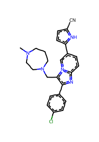 CN1CCCN(Cc2c(-c3ccc(Cl)cc3)nc3ccc(-c4ccc(C#N)[nH]4)cn23)CC1